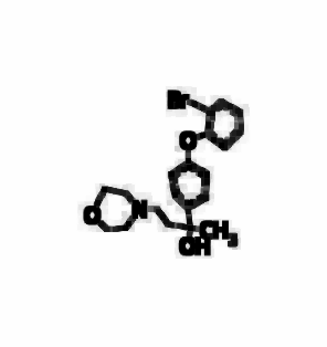 CC(O)(CCN1CCOCC1)c1ccc(Oc2ccccc2Br)cc1